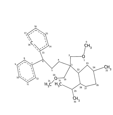 COCC(CCC(c1ccccc1)c1ccccc1)(COC)C1CC(C)CCC1C(C)C